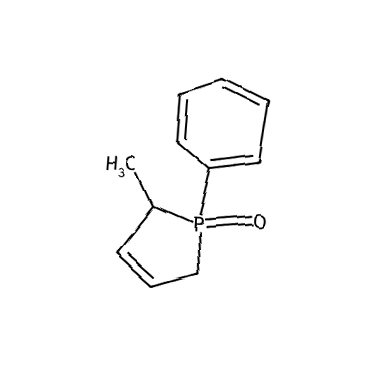 CC1C=CCP1(=O)c1ccccc1